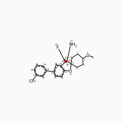 COC1CCC2(CC1)Oc1ccc(-c3cccc(Cl)c3)cc1C21C=C(F)C(N)=N1